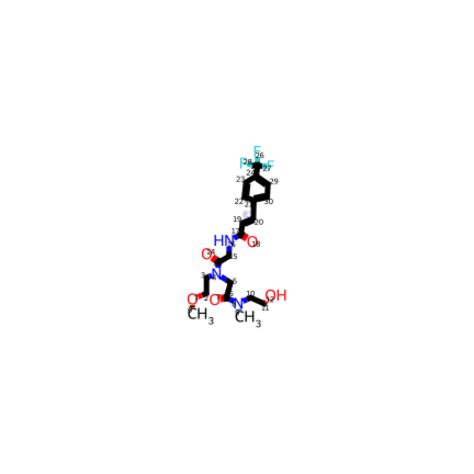 COCCN(CC(=O)N(C)CCO)C(=O)CNC(=O)/C=C/c1ccc(C(F)(F)F)cc1